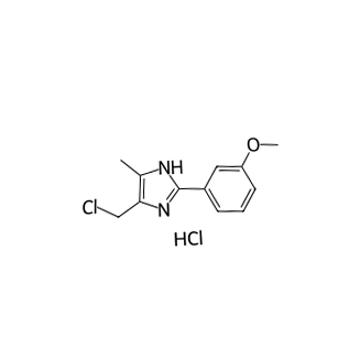 COc1cccc(-c2nc(CCl)c(C)[nH]2)c1.Cl